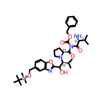 CC(C)[C@@H](C(O)c1nc2cc(CO[Si](C)(C)C(C)(C)C)ccc2o1)N1CCC[C@H]1C(=O)N(C(=O)OCc1ccccc1)C(=O)[C@@H](N)C(C)C